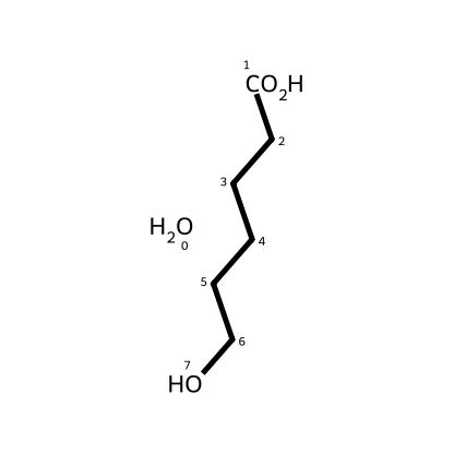 O.O=C(O)CCCCCO